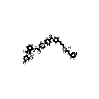 O=C(/C=C/c1cccnc1)NCCCCC1CCN(C(=O)c2ccc(N3CCN(C(=O)CSc4cccc5c4C(=O)N(C4CCC(=O)NC4=O)C5=O)CC3)nc2)CC1